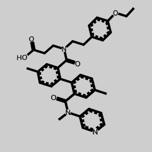 CCOc1ccc(CCN(CCC(=O)O)C(=O)c2cc(C)ccc2-c2ccc(C)cc2C(=O)N(C)c2cccnc2)cc1